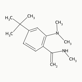 C=C(NC)c1ccc(C(C)(C)C)cc1N(C)C